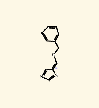 [C]1=N/C(=C/OCc2ccccc2)C=N1